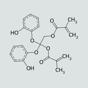 C=C(C)C(=O)OCC(OC(=O)C(=C)C)(Oc1ccccc1O)Oc1ccccc1O